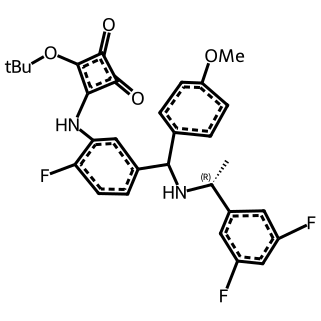 COc1ccc(C(N[C@H](C)c2cc(F)cc(F)c2)c2ccc(F)c(Nc3c(OC(C)(C)C)c(=O)c3=O)c2)cc1